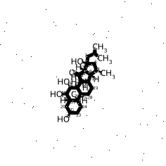 CC(C)C[C@]1(O)C[C@@H](C)[C@H]2[C@@H]1C(=O)[C@@H]1[C@@H]3[C@@H](O)[C@H](O)[C@H]4C[C@H](O)CC[C@]4(C)[C@H]3CC[C@]21C